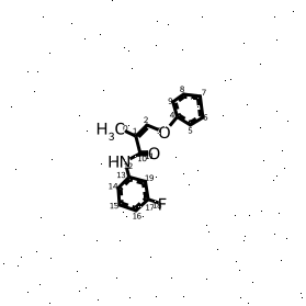 CC(=COc1ccccc1)C(=O)Nc1cccc(F)c1